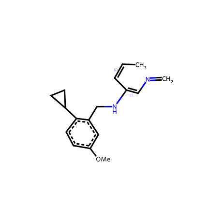 C=N/C=C(\C=C/C)NCc1cc(OC)ccc1C1CC1